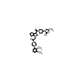 Cc1cccc(N2CCN(C(=O)Cn3nc(C(=O)N4CCC(N5C[C@H](C)OC5=O)CC4)c4c3CCC4)CC2)c1C